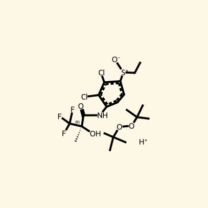 CC(C)(C)OOC(C)(C)C.CC[S+]([O-])c1ccc(NC(=O)[C@@](C)(O)C(F)(F)F)c(Cl)c1Cl.[H+]